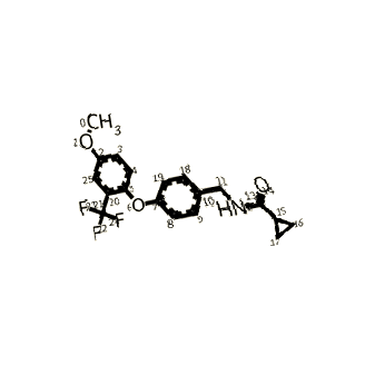 COc1ccc(Oc2ccc(CNC(=O)C3CC3)cc2)c(C(F)(F)F)c1